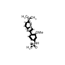 COc1cc(NS(C)(=O)=O)ccc1-c1cn2nc(N(C)C)ccc2n1